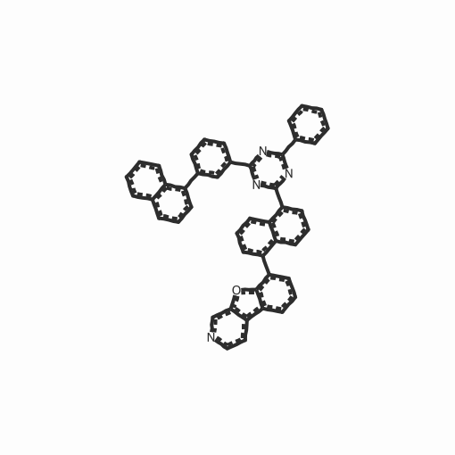 c1ccc(-c2nc(-c3cccc(-c4cccc5ccccc45)c3)nc(-c3cccc4c(-c5cccc6c5oc5cnccc56)cccc34)n2)cc1